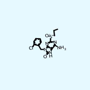 CCC[S+]([O-])c1nc(N)c2[nH]c(=O)n(Cc3ccccc3Cl)c2n1